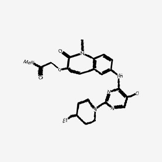 CCC1CCN(c2ncc(Cl)c(Nc3ccc4c(c3)cc(OCC(=O)NC)c(=O)n4C)n2)CC1